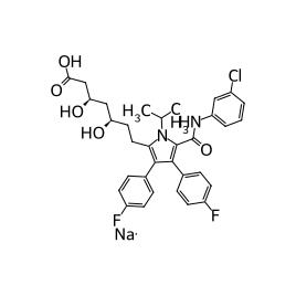 CC(C)n1c(CC[C@@H](O)C[C@@H](O)CC(=O)O)c(-c2ccc(F)cc2)c(-c2ccc(F)cc2)c1C(=O)Nc1cccc(Cl)c1.[Na]